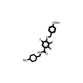 COc1ccc(COc2c(F)cc(C(=O)NCC3CCC(C#N)CC3)c(F)c2F)cc1